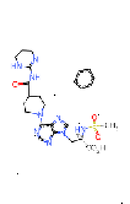 CS(=O)(=O)N[C@@H](Cn1cnc2c(N3CCC(C(=O)NC4=NCCCN4)CC3)ncnc21)C(=O)O.c1ccccc1